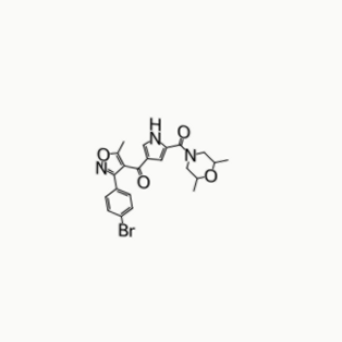 Cc1onc(-c2ccc(Br)cc2)c1C(=O)c1c[nH]c(C(=O)N2CC(C)OC(C)C2)c1